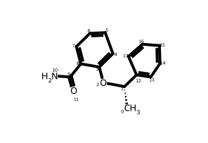 C[C@H](Oc1ccccc1C(N)=O)c1ccccc1